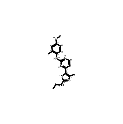 CCNc1nc(C)c(-c2ccnc(Nc3ccc(OC)cc3C)n2)s1